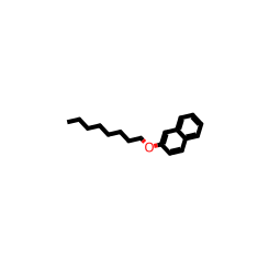 CCCCCCCCOc1ccc2ccccc2c1